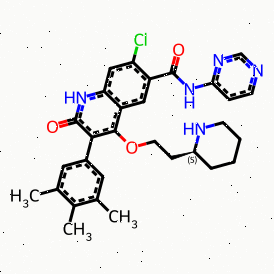 Cc1cc(-c2c(OCC[C@@H]3CCCCN3)c3cc(C(=O)Nc4ccncn4)c(Cl)cc3[nH]c2=O)cc(C)c1C